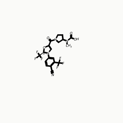 CN(C(=O)O)C1CCN(C(=O)C2CN(c3ccc(C#N)c(C(F)(F)F)c3)[C@@H](C(F)(F)F)O2)C1